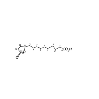 O=C(O)CCCCCCCCCC1CCC(=O)O1